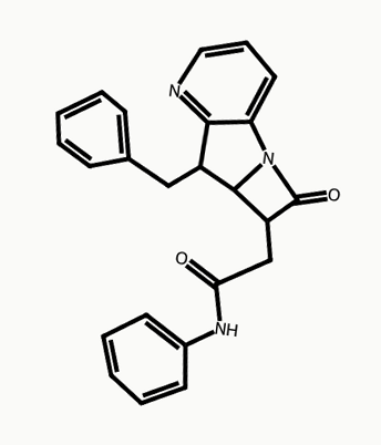 O=C(CC1C(=O)N2c3cccnc3C(Cc3ccccc3)C12)Nc1ccccc1